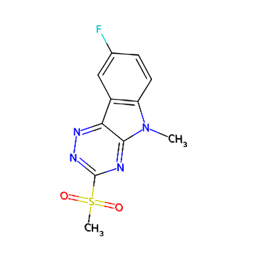 Cn1c2ccc(F)cc2c2nnc(S(C)(=O)=O)nc21